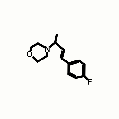 CC(C=Cc1ccc(F)cc1)N1CCOCC1